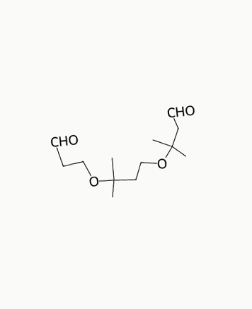 CC(C)(CC=O)OCCC(C)(C)OCCC=O